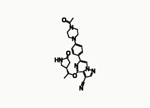 CC(=O)N1CCN(c2ccc(-c3cn4ncc(C#N)c4c(OC(C)[C@H]4CNC(=O)C4)n3)cc2)CC1